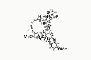 COC[C@@H]1C[C@H](C)CC/C=C\[C@@H]2C[C@@]2(C(=O)NS(=O)(=O)C2(CF)CC2)NC(=O)[C@@H]2C[C@@H](Oc3nc4cc(OC)ccc4nc3C(F)(F)F)CN2C(=O)[C@H]1NC(=O)O